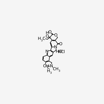 CC[C@@]1(O)C(=O)OCc2c1cc1n(c2=O)Cc2cc3c(CN(C)C)c(O)ccc3nc2-1.Cl.Cl